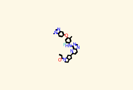 C=CC(=O)N1CCC2CC(c3ccc4ncnc(Nc5cc(C)c(Oc6ccc7c(c6)ncn7C)cc5F)c4n3)CC21